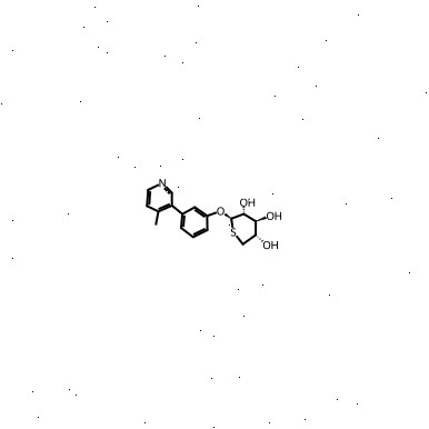 Cc1ccncc1-c1cccc(O[C@@H]2SC[C@@H](O)[C@H](O)[C@H]2O)c1